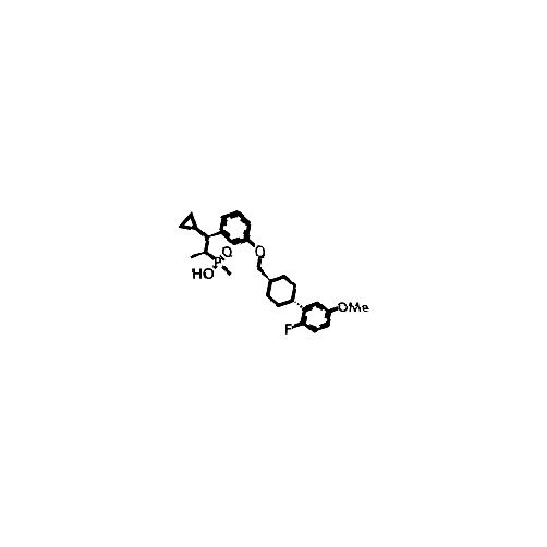 COc1ccc(F)c([C@H]2CC[C@H](COc3cccc([C@H](C4CC4)[C@H](C)P(C)(=O)O)c3)CC2)c1